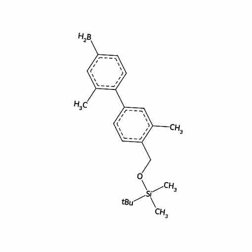 Bc1ccc(-c2ccc(CO[Si](C)(C)C(C)(C)C)c(C)c2)c(C)c1